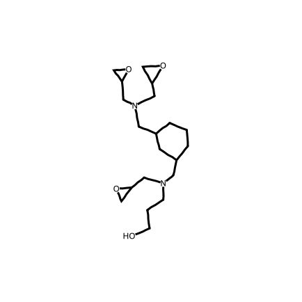 OCCCN(CC1CCCC(CN(CC2CO2)CC2CO2)C1)CC1CO1